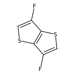 Fc1[c]sc2c(F)[c]sc12